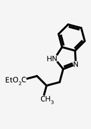 CCOC(=O)CC(C)Cc1nc2ccccc2[nH]1